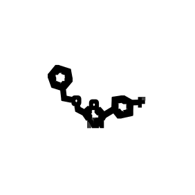 Fc1ccc(-c2nnc(COCc3ccccc3)o2)cc1